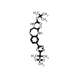 CC(C)(C)OC(=O)N[C@H]1CSc2ccc(-c3nnc(C(C)(C)S(C)(=O)=O)o3)cc2NC1=O